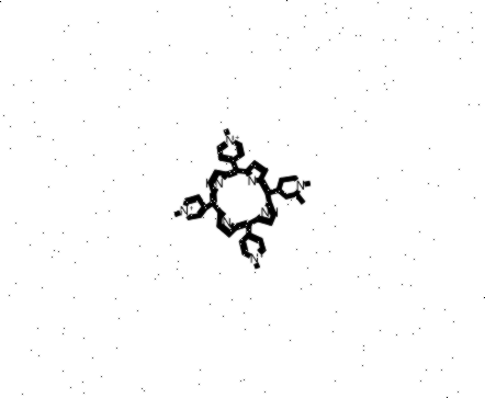 CC1CC(c2c3nc(c(-c4cc[n+](C)cc4)c4ccc([nH]4)c(-c4cc[n+](C)cc4)c4nc(c(-c5cc[n+](C)cc5)c5ccc2[nH]5)C=C4)C=C3)CCN1C